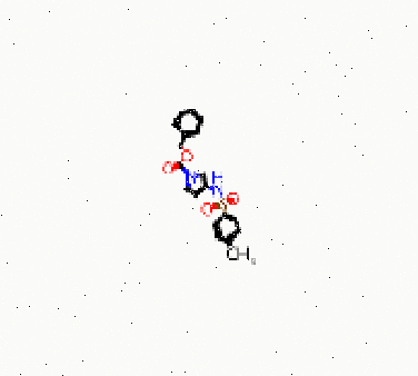 Cc1ccc(S(=O)(=O)NC2CCN(C(=O)OCc3ccccc3)C2)cc1